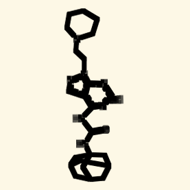 Cl.O=C(Nc1ncnc2c1cnn2CCN1CCCCC1)NC12CC3CC(CC(C3)C1)C2